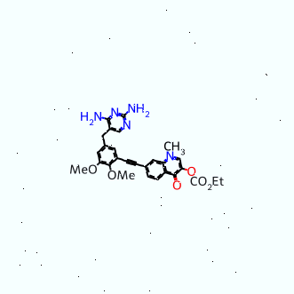 CCOC(=O)Oc1cn(C)c2cc(C#Cc3cc(Cc4cnc(N)nc4N)cc(OC)c3OC)ccc2c1=O